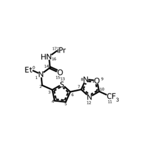 CCN(Cc1ccc(-c2noc(C(F)(F)F)n2)s1)C(=O)NC(C)C